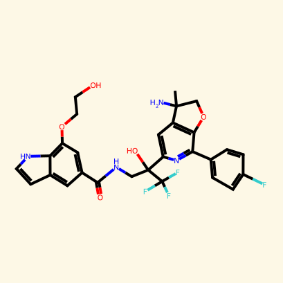 CC1(N)COc2c1cc(C(O)(CNC(=O)c1cc(OCCO)c3[nH]ccc3c1)C(F)(F)F)nc2-c1ccc(F)cc1